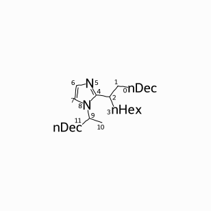 CCCCCCCCCCCC(CCCCCC)c1nccn1C(C)CCCCCCCCCC